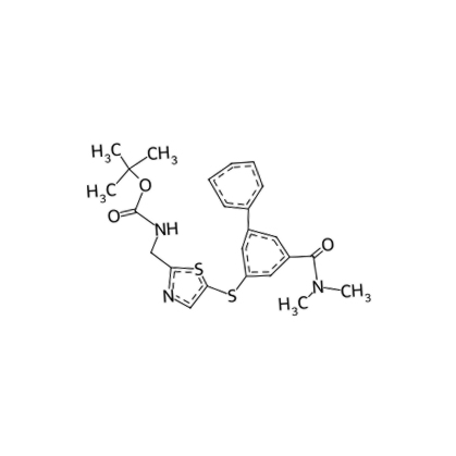 CN(C)C(=O)c1cc(Sc2cnc(CNC(=O)OC(C)(C)C)s2)cc(-c2ccccc2)c1